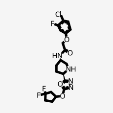 O=C(COc1ccc(Cl)c(F)c1)N[C@H]1CC[C@H](c2nnc(OC3CCC(F)(F)C3)o2)NC1